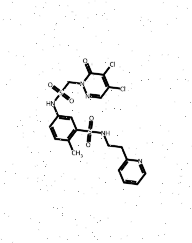 Cc1ccc(NS(=O)(=O)Cn2ncc(Cl)c(Cl)c2=O)cc1S(=O)(=O)NCCc1ccccn1